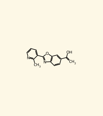 C=C(O)c1ccc2nc(-c3cccnc3C)oc2c1